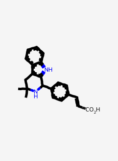 CC1(C)Cc2c([nH]c3ccccc23)C(c2ccc(/C=C/C(=O)O)cc2)N1